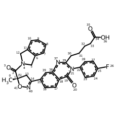 C[C@@]1(C(=O)N2Cc3ccccc3C2)CC(c2ccc3c(=O)n(-c4ccc(F)cc4)c(CCCCC(=O)O)nc3c2)=NO1